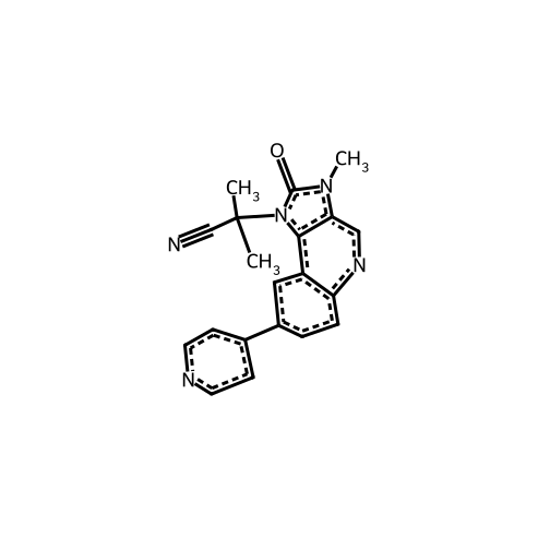 Cn1c(=O)n(C(C)(C)C#N)c2c3cc(-c4ccncc4)ccc3ncc21